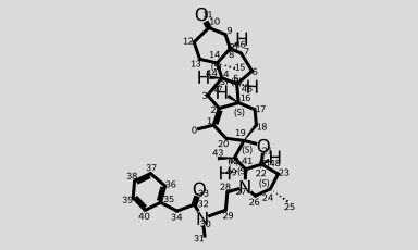 CC1=C2C[C@H]3[C@@H](CC[C@@H]4CC(=O)CC[C@@]43C)[C@@H]2CC[C@@]2(C1)O[C@@H]1C[C@H](C)CN(CCN(C)C(=O)Cc3ccccc3)[C@H]1[C@H]2C